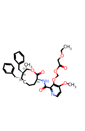 CCOCC(=O)OCOc1c(OC)ccnc1C(=O)N[C@H]1CCC[C@H](Cc2ccccc2)[C@@H](Cc2ccccc2)[C@H](C)OC1=O